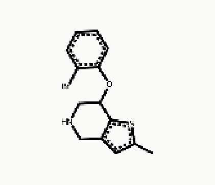 Cc1cc2c(s1)C(Oc1ccccc1Br)CNC2